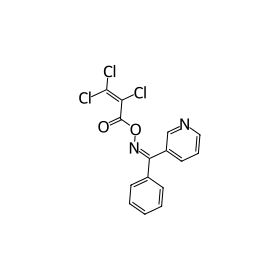 O=C(ON=C(c1ccccc1)c1cccnc1)C(Cl)=C(Cl)Cl